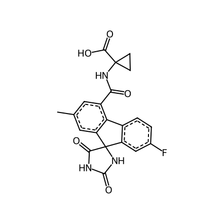 Cc1cc(C(=O)NC2(C(=O)O)CC2)c2c(c1)C1(NC(=O)NC1=O)c1cc(F)ccc1-2